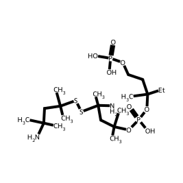 CCC(C)(CCOP(=O)(O)O)OP(=O)(O)OC(C)(C)CC(C)(N)SSC(C)(C)CC(C)(C)N